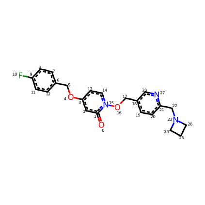 O=c1cc(OCc2ccc(F)cc2)ccn1OCc1ccc(CN2CCC2)nc1